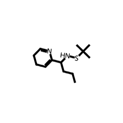 CCCC(NSC(C)(C)C)C1=CCCC=N1